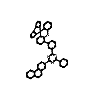 c1ccc(-c2nc(-c3cccc(-c4cccc5c4Sc4ccccc4C54c5ccccc5-c5ccccc54)c3)nc(-c3ccc4c(ccc5ccccc54)c3)n2)cc1